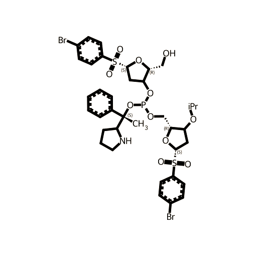 CC(C)OC1C[C@H](S(=O)(=O)c2ccc(Br)cc2)O[C@@H]1COP(OC1C[C@H](S(=O)(=O)c2ccc(Br)cc2)O[C@@H]1CO)O[C@@](C)(c1ccccc1)C1CCCN1